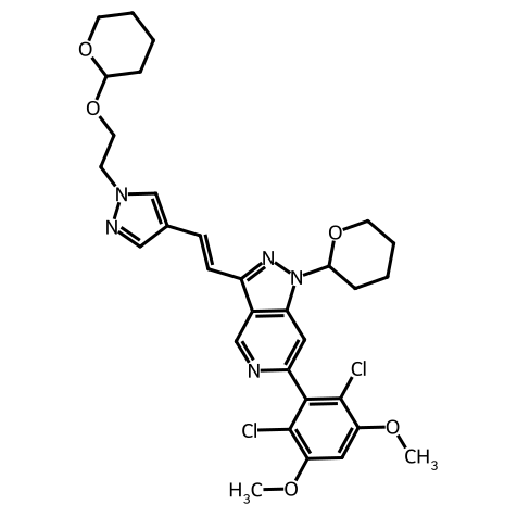 COc1cc(OC)c(Cl)c(-c2cc3c(cn2)c(C=Cc2cnn(CCOC4CCCCO4)c2)nn3C2CCCCO2)c1Cl